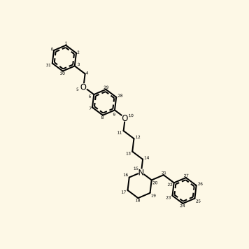 c1ccc(COc2ccc(OCCCCN3CCCCC3Cc3ccccc3)cc2)cc1